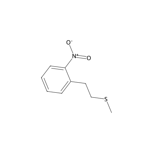 CSCCc1ccccc1[N+](=O)[O-]